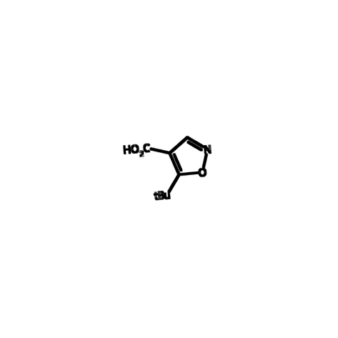 CC(C)(C)c1oncc1C(=O)O